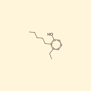 CCCCCc1c(O)cccc1CC